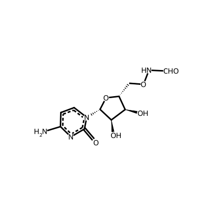 Nc1ccn([C@@H]2O[C@H](CONC=O)[C@@H](O)[C@H]2O)c(=O)n1